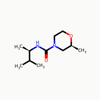 CC(C)[C@@H](C)NC(=O)N1CCO[C@@H](C)C1